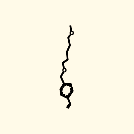 C=Cc1ccc(COCCCCCOC)cc1